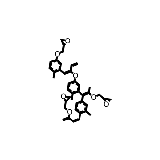 C=C/C(=C\c1cc(OCC2CO2)ccc1C)Oc1ccc(C)c(/C(=C(\C)OCC2CO2)c2ccc(/C=C\C(=C)OCC3CO3)c(C)c2)c1